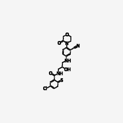 N#Cc1cc(NCC(O)CNC(=O)C2=CC(Cl)=CCC2=S)ccc1N1CCOCC1=O